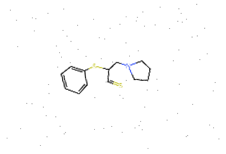 S=[C]C(CN1CCCC1)Sc1ccccc1